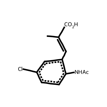 CC(=O)Nc1ccc(Cl)cc1C=C(C)C(=O)O